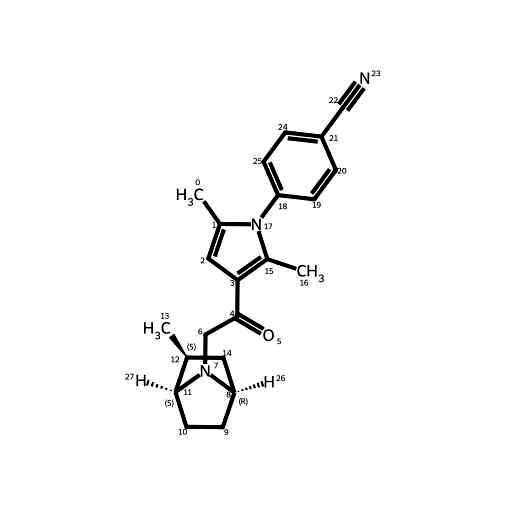 Cc1cc(C(=O)CN2[C@@H]3CC[C@H]2[C@@H](C)C3)c(C)n1-c1ccc(C#N)cc1